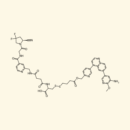 COc1ncc(-c2ccc3nccc(-c4ccc(COC(=O)CCCSSCC(NC(=O)CCC(=O)NCc5cc(C(=O)NCC(=O)N6CC(F)(F)C[C@H]6C#N)ccn5)C(=O)O)nc4)c3c2)cc1N